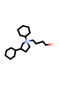 [O-]CCCC[N+]1(C2CCCCC2)CCC(C2CCCCC2)C1